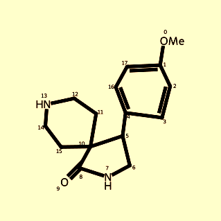 COc1ccc(C2CNC(=O)C23CCNCC3)cc1